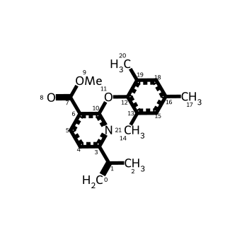 C=C(C)c1ccc(C(=O)OC)c(Oc2c(C)cc(C)cc2C)n1